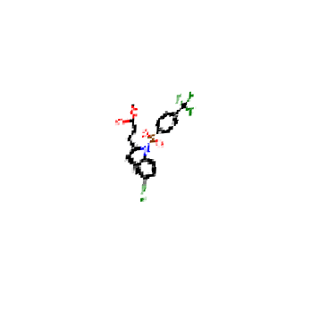 COC(=O)CCc1cc2cc(Cl)ccc2n1S(=O)(=O)c1ccc(C(F)(F)F)cc1